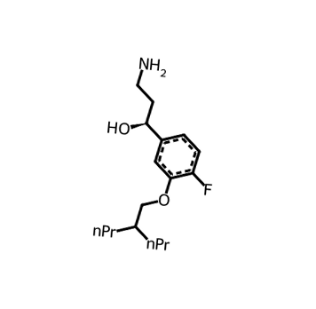 CCCC(CCC)COc1cc([C@@H](O)CCN)ccc1F